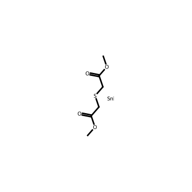 COC(=O)CSCC(=O)OC.[Sn]